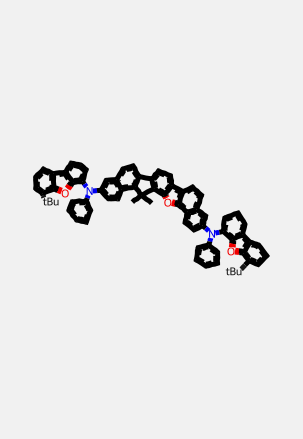 CC(C)(C)c1cccc2c1oc1c(N(c3ccccc3)c3ccc4c5c(ccc4c3)-c3ccc4c(oc6c7ccc(N(c8ccccc8)c8cccc9c8oc8c(C(C)(C)C)cccc89)cc7ccc46)c3C5(C)C)cccc12